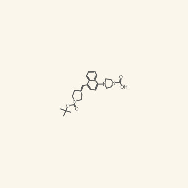 CC(C)(C)OC(=O)N1CCC(=Cc2ccc(N3CCN(C(=O)O)CC3)c3ccccc23)CC1